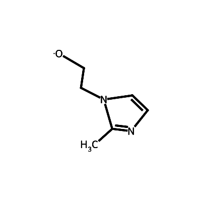 Cc1nccn1CC[O]